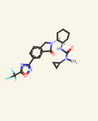 CN(C(=O)N[C@@H]1CCCC[C@H]1N1Cc2ccc(-c3noc(C(F)(F)F)n3)cc2C1=O)C1CC1